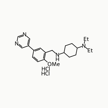 CCN(CC)C1CCC(NCc2cc(-c3cncnc3)ccc2OC)CC1.Cl.Cl